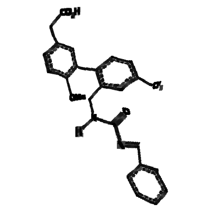 CCN(Cc1cc(C(F)(F)F)ccc1-c1cc(CC(=O)O)ccc1OC)C(=O)/N=C/c1ccccc1